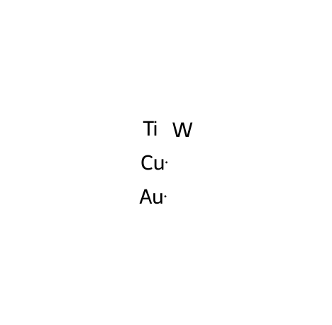 [Au].[Cu].[Ti].[W]